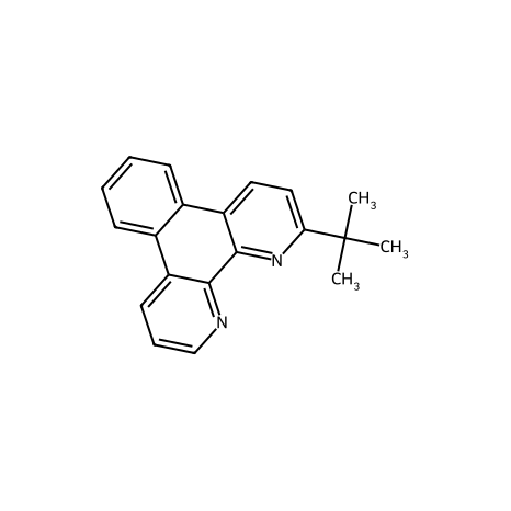 CC(C)(C)c1ccc2c3ccccc3c3cccnc3c2n1